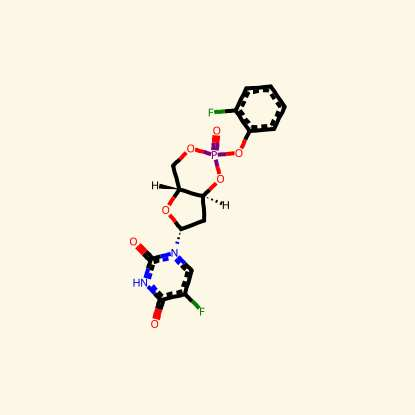 O=c1[nH]c(=O)n([C@H]2C[C@@H]3OP(=O)(Oc4ccccc4F)OC[C@H]3O2)cc1F